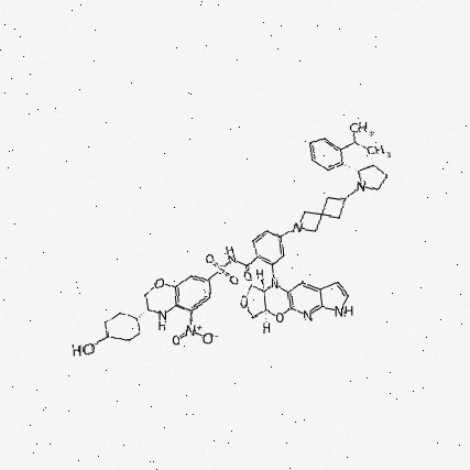 CC(C)c1ccccc1[C@@H]1CCCN1C1CC2(C1)CN(c1ccc(C(=O)NS(=O)(=O)c3cc4c(c([N+](=O)[O-])c3)N[C@H](C3CCC(O)CC3)CO4)c(N3c4cc5cc[nH]c5nc4O[C@H]4COC[C@@H]43)c1)C2